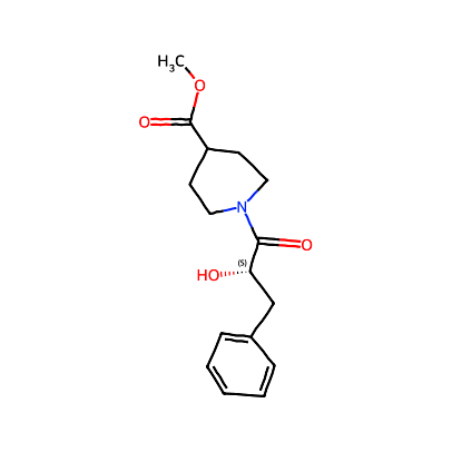 COC(=O)C1CCN(C(=O)[C@@H](O)Cc2ccccc2)CC1